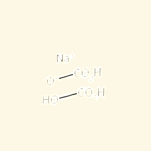 O=C(O)O.O=C([O-])O.[Na+]